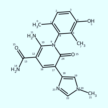 Cc1ccc(O)c(C)c1-n1c(N)c(C(N)=O)cc(-c2cn(C)cn2)c1=O